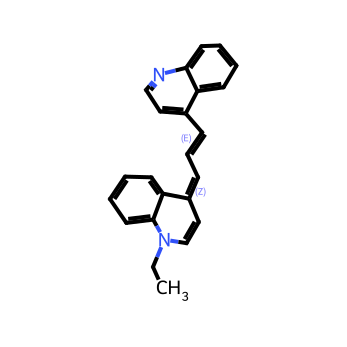 CCN1C=C/C(=C/C=C/c2ccnc3ccccc23)c2ccccc21